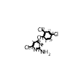 Nc1nc(Cl)cc(Oc2ccc(Cl)cc2Cl)n1